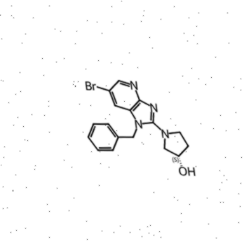 O[C@H]1CCN(c2nc3ncc(Br)cc3n2Cc2ccccc2)C1